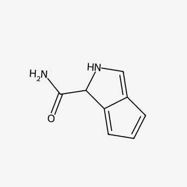 NC(=O)C1NC=C2C=CC=C21